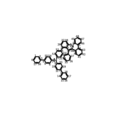 c1ccc(-c2ccc(N(c3ccc(-c4ccccc4)cc3)c3ccc(-c4cccc5c4c(-c4ccccc4)c4c6ccccc6c6ccccc6n54)cc3)cc2)cc1